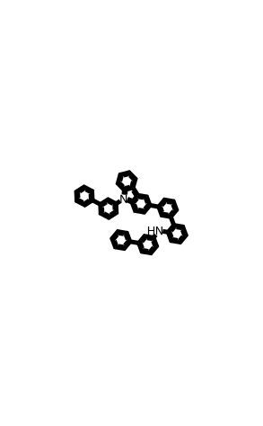 c1ccc(-c2cccc(Nc3ccccc3-c3cccc(-c4ccc5c(c4)c4ccccc4n5-c4cccc(-c5ccccc5)c4)c3)c2)cc1